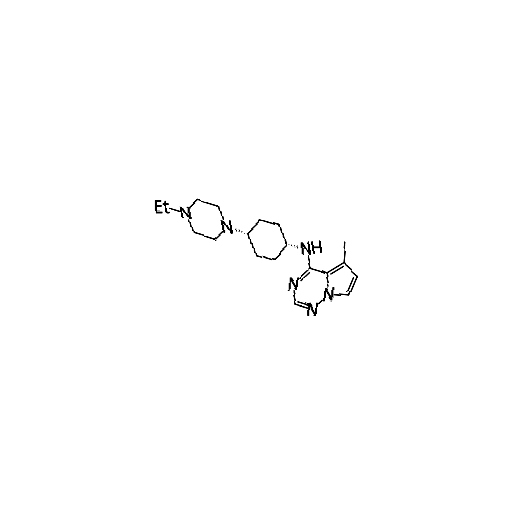 CCN1CCN([C@H]2CC[C@@H](Nc3ncnn4ccc(C)c34)CC2)CC1